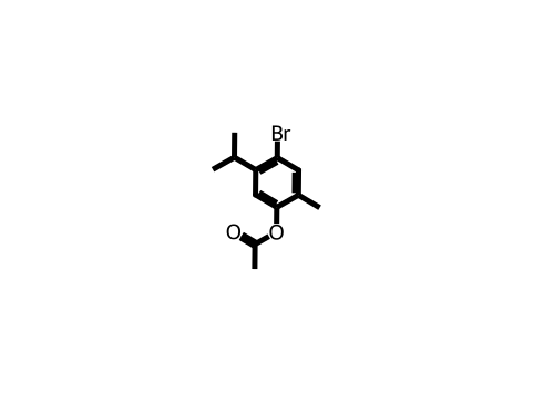 CC(=O)Oc1cc(C(C)C)c(Br)cc1C